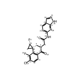 O=C(CN1C[C@@]2(C[C@@H]2F)c2c(ccc(Cl)c2F)C1=O)Nc1ncc2cn[nH]c2n1